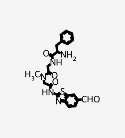 CN(CC(=O)Nc1nc2ccc(C=O)cc2s1)C(=O)CNC(=O)C(N)Cc1ccccc1